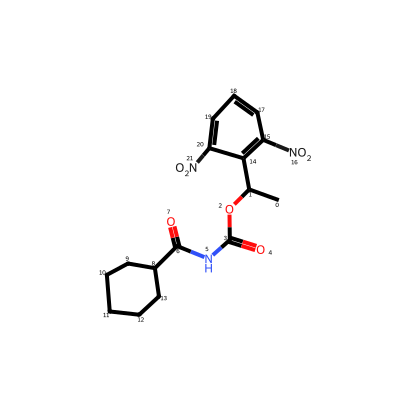 CC(OC(=O)NC(=O)C1CCCCC1)c1c([N+](=O)[O-])cccc1[N+](=O)[O-]